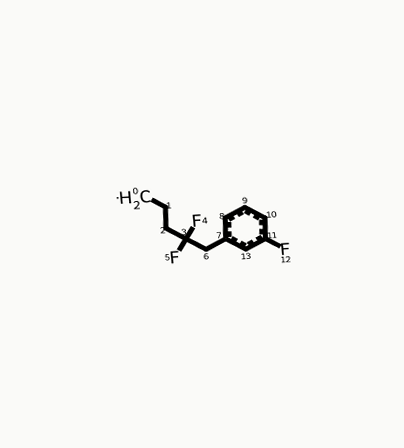 [CH2]CCC(F)(F)Cc1cccc(F)c1